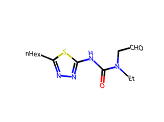 CCCCCCc1nnc(NC(=O)N(CC)CC=O)s1